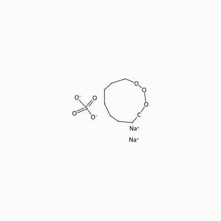 C1CCCCOOOCCC1.O=S(=O)([O-])[O-].[Na+].[Na+]